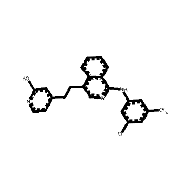 Oc1cc(CCc2cnc(Nc3cc(Cl)cc(C(F)(F)F)c3)c3ccccc23)ccn1